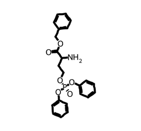 NC(CCOP(=O)(Oc1ccccc1)Oc1ccccc1)C(=O)OCc1ccccc1